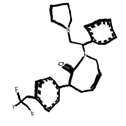 O=C1C(c2ccc(C(F)(F)F)cc2)CC=CCN1C(CN1CCCC1)c1ccccc1